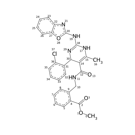 COC(=O)c1ccccc1CNC(=O)C1=C(C)NC(Nc2nc3ccccc3o2)=NC1c1ccccc1Cl